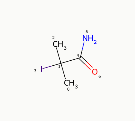 CC(C)(I)C(N)=O